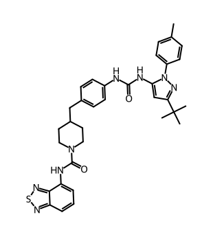 Cc1ccc(-n2nc(C(C)(C)C)cc2NC(=O)Nc2ccc(CC3CCN(C(=O)Nc4cccc5nsnc45)CC3)cc2)cc1